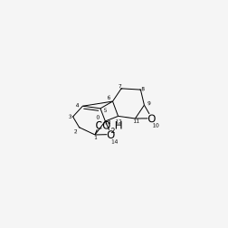 O=C(O)C12CCC3=C4C35CCC3OC3C5C41O2